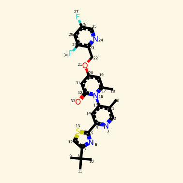 Cc1cnc(-c2nc(C(C)(C)C)cs2)cc1-n1c(C)cc(OCc2ncc(F)cc2F)cc1=O